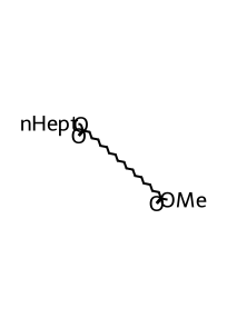 CCCCCCCOC(=O)CCCCCCCCCCCCCCCCCC(=O)OC